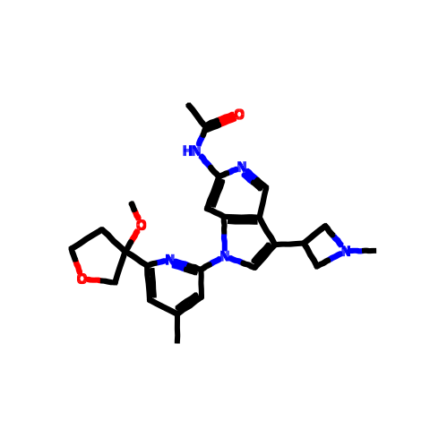 COC1(c2cc(C)cc(-n3cc(C4CN(C)C4)c4cnc(NC(C)=O)cc43)n2)CCOC1